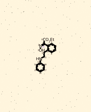 CCOC(=O)/C(=N/O)c1ccccc1CCNc1ccccc1